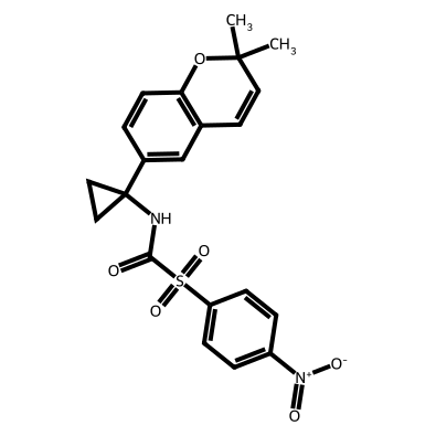 CC1(C)C=Cc2cc(C3(NC(=O)S(=O)(=O)c4ccc([N+](=O)[O-])cc4)CC3)ccc2O1